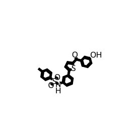 Cc1ccc(S(=O)(=O)Nc2cccc(-c3ccc(C(=O)c4cccc(O)c4)s3)c2)cc1